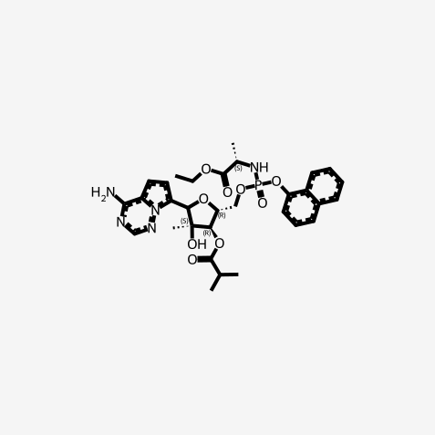 CCOC(=O)[C@H](C)NP(=O)(OC[C@H]1OC(c2ccc3c(N)ncnn23)[C@](C)(O)[C@@H]1OC(=O)C(C)C)Oc1cccc2ccccc12